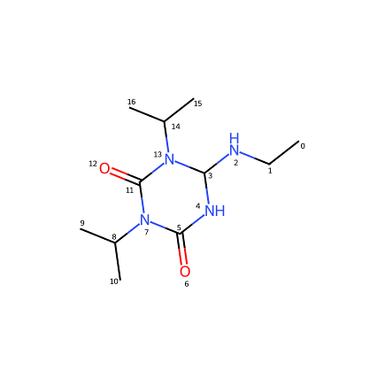 CCNC1NC(=O)N(C(C)C)C(=O)N1C(C)C